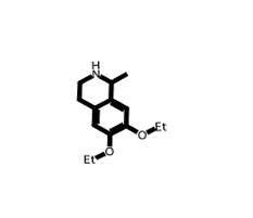 CCOc1cc2c(cc1OCC)C(C)NCC2